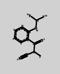 CC(C#N)C(=O)c1ccccc1OC(F)F